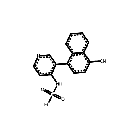 CCS(=O)(=O)Nc1ccncc1-c1ccc(C#N)c2ccccc12